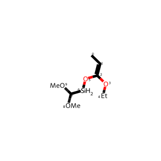 C/C=C(/OCC)O[SiH2]C(OC)OC